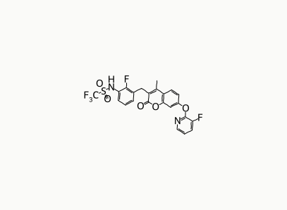 Cc1c(Cc2cccc(NS(=O)(=O)C(F)(F)F)c2F)c(=O)oc2cc(Oc3ncccc3F)ccc12